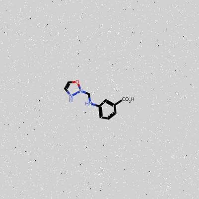 O=C(O)c1cccc(NCN2NC=CO2)c1